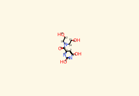 O=C(c1cc(O)nc(O)n1)N(CCO)CCO